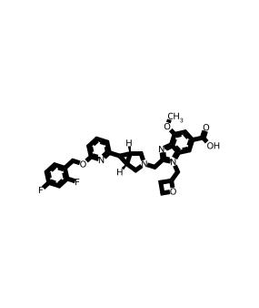 COc1cc(C(=O)O)cc2c1nc(CN1C[C@@H]3C(c4cccc(OCc5ccc(F)cc5F)n4)[C@@H]3C1)n2CC1CCO1